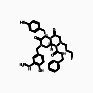 NNc1cc(CN2C[C@H]3N(C(=O)CN(CCCF)N3C(=O)NCc3ccccc3)[C@@H](Cc3ccc(O)cc3)C2=O)ccc1O